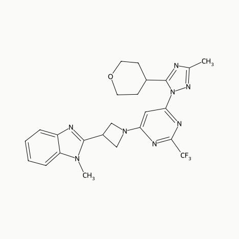 Cc1nc(C2CCOCC2)n(-c2cc(N3CC(c4nc5ccccc5n4C)C3)nc(C(F)(F)F)n2)n1